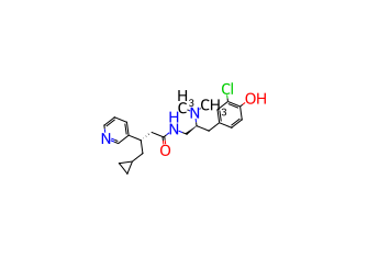 CN(C)[C@H](CNC(=O)C[C@H](CC1CC1)c1cccnc1)Cc1ccc(O)c(Cl)c1